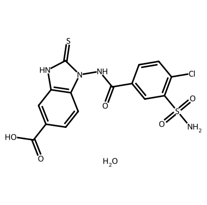 NS(=O)(=O)c1cc(C(=O)Nn2c(=S)[nH]c3cc(C(=O)O)ccc32)ccc1Cl.O